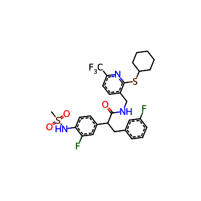 CS(=O)(=O)Nc1ccc(C(Cc2cccc(F)c2)C(=O)NCc2ccc(C(F)(F)F)nc2SC2CCCCC2)cc1F